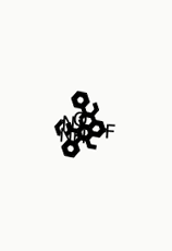 CCC1=C(c2ccccc2)Oc2c(C3=NCCCN3)c(-c3ccccc3)c(CC)c3cc(F)cc1c23